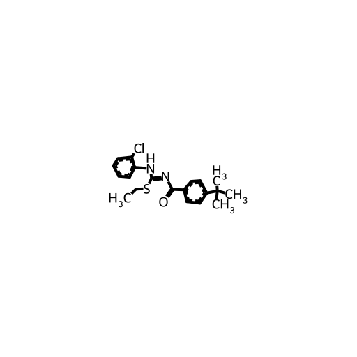 CCSC(=NC(=O)c1ccc(C(C)(C)C)cc1)Nc1ccccc1Cl